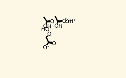 CC(=O)O.CC(=O)O.O=C([O-])COO.[H+].[Zn]